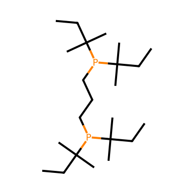 CCC(C)(C)P(CCCP(C(C)(C)CC)C(C)(C)CC)C(C)(C)CC